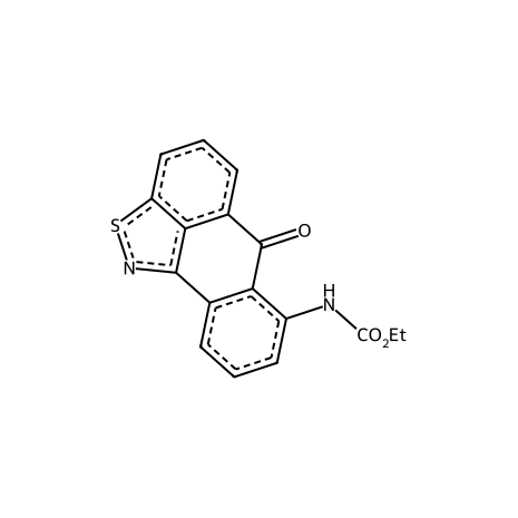 CCOC(=O)Nc1cccc2c1C(=O)c1cccc3snc-2c13